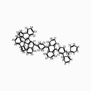 c1ccc(-n2c3ccccc3c3cc(-c4c5ccccc5c(-c5ccc(-c6cc7c(c8ccccc68)C6(c8ccccc8-c8ccccc86)c6c-7c7ccccc7c7ccccc67)cc5)c5ccccc45)ccc32)cc1